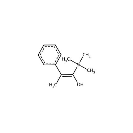 CC(=C(O)[Si](C)(C)C)c1ccccc1